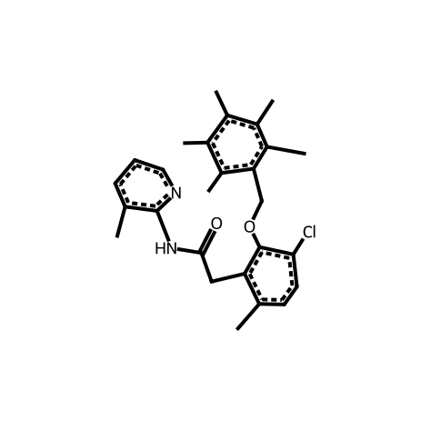 Cc1cccnc1NC(=O)Cc1c(C)ccc(Cl)c1OCc1c(C)c(C)c(C)c(C)c1C